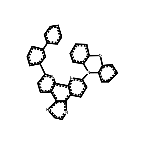 c1ccc(-c2cccc(-c3ccc4c5nccnc5c5ccc(N6c7ccccc7Oc7ccccc76)nc5c4n3)c2)cc1